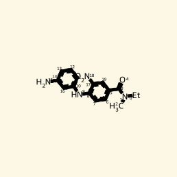 CCN(C)C(=O)c1ccc(Nc2cccc(N)c2)c([N+](=O)[O-])c1